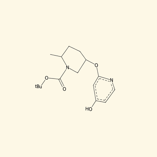 CC1CCC(Oc2cc(O)ccn2)CN1C(=O)OC(C)(C)C